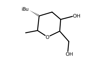 CC[C@@H](C)C1CC(O)C(CO)OC1C